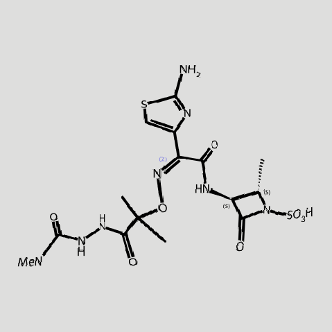 CNC(=O)NNC(=O)C(C)(C)O/N=C(\C(=O)N[C@@H]1C(=O)N(S(=O)(=O)O)[C@H]1C)c1csc(N)n1